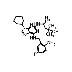 CC(CC(C)(C)O)Nc1nc(NCc2cc(F)ccc2N)c2ncn(C3CCCCC3)c2n1